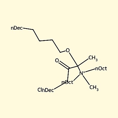 CCCCCCCCCCCCCCOC(C)(C(=O)CCCCCCCCCCC)[N+](C)(CCCCCCCC)CCCCCCCC.[Cl-]